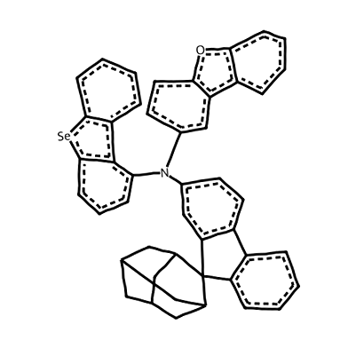 c1ccc2c(c1)-c1ccc(N(c3ccc4oc5ccccc5c4c3)c3cccc4[se]c5ccccc5c34)cc1C21C2CC3CC(C2)CC1C3